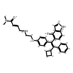 CN(C)C(=O)C=CCNCCOc1ccc(C(=C(c2ccccc2)C2CCC2)c2ccc3[nH]ncc3c2F)cc1